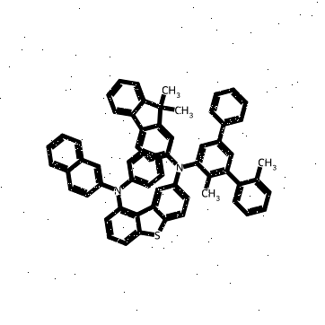 Cc1ccccc1-c1cc(-c2ccccc2)cc(N(c2ccc3c(c2)C(C)(C)c2ccccc2-3)c2ccc3sc4cccc(N(c5ccccc5)c5ccc6ccccc6c5)c4c3c2)c1C